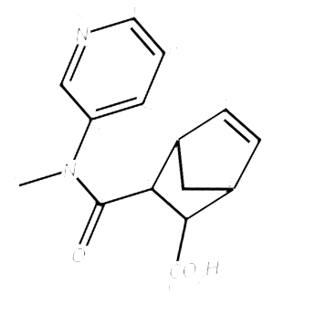 CN(C(=O)C1C2C=CC(C2)C1C(=O)O)c1cccnc1